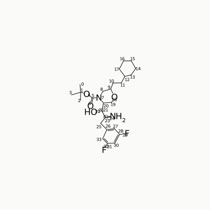 CC(C)(C)OC(=O)N1CC(CCC2CCCCC2)OCC1[C@@H](O)[C@@H](N)Cc1cc(F)cc(F)c1